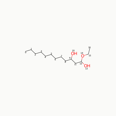 CCCCCCCCCC(O)CC(O)OCC